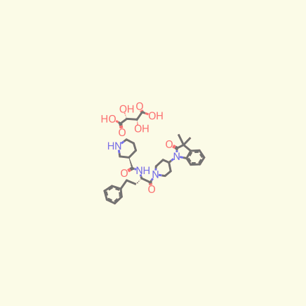 CC1(C)C(=O)N(C2CCN(C(=O)[C@H](CCc3ccccc3)NC(=O)[C@@H]3CCCNC3)CC2)c2ccccc21.O=C(O)[C@H](O)[C@@H](O)C(=O)O